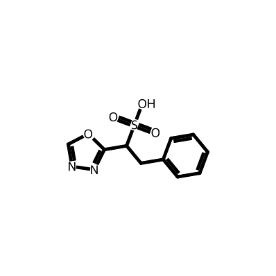 O=S(=O)(O)C(Cc1ccccc1)c1nnco1